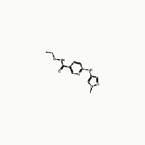 CCONC(=O)c1ccc(Nc2cnn(C)c2)nc1